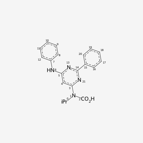 CC(C)N(C(=O)O)c1cc(Nc2ccccc2)nc(-c2ccccc2)n1